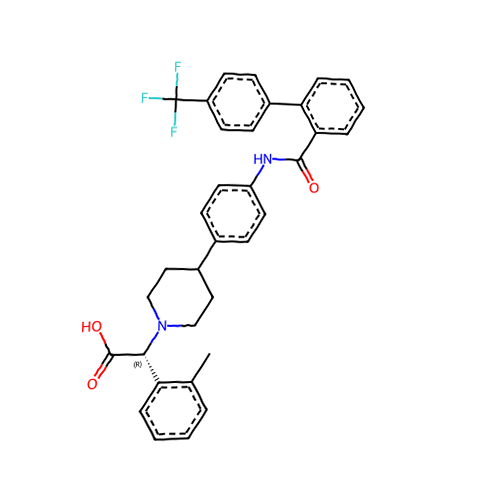 Cc1ccccc1[C@H](C(=O)O)N1CCC(c2ccc(NC(=O)c3ccccc3-c3ccc(C(F)(F)F)cc3)cc2)CC1